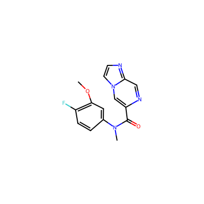 COc1cc(N(C)C(=O)c2cn3ccnc3cn2)ccc1F